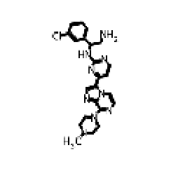 CN1CCN(c2nccn3c(-c4ccnc(NC(CN)c5cccc(Cl)c5)n4)cnc23)CC1